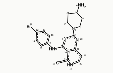 NC1CCN(c2nc(Nc3ccc(Br)cc3)c3c(=O)[nH]ccc3n2)CC1